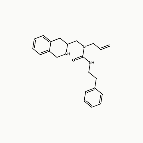 C=CCN(CC1Cc2ccccc2CN1)C(=O)NCCc1ccccc1